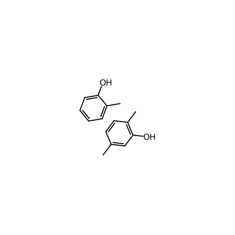 Cc1ccc(C)c(O)c1.Cc1ccccc1O